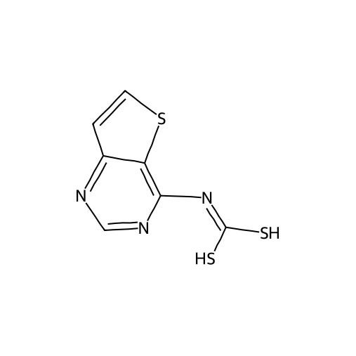 SC(S)=Nc1ncnc2ccsc12